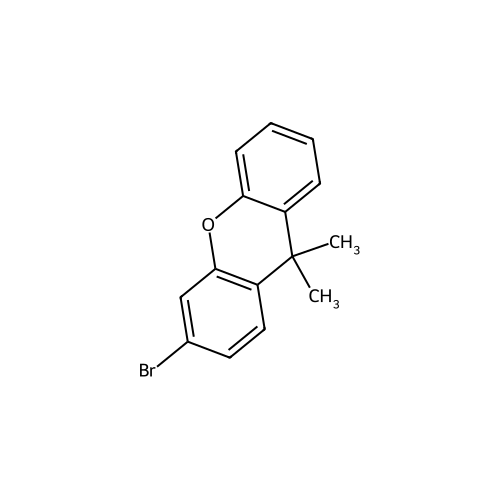 CC1(C)c2ccccc2Oc2cc(Br)ccc21